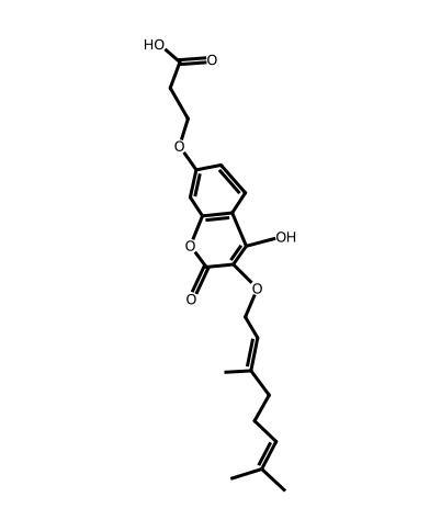 CC(C)=CCC/C(C)=C/COc1c(O)c2ccc(OCCC(=O)O)cc2oc1=O